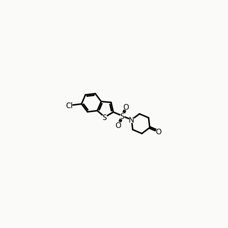 O=C1CCN(S(=O)(=O)c2cc3ccc(Cl)cc3s2)CC1